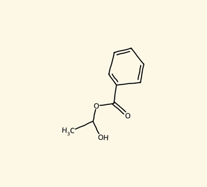 CC(O)OC(=O)c1ccccc1